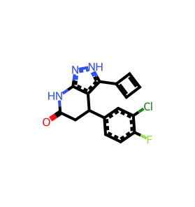 O=C1CC(c2ccc(F)c(Cl)c2)c2c(n[nH]c2C2=CC=C2)N1